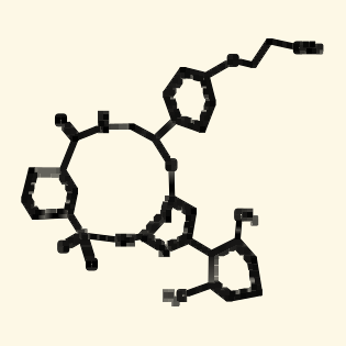 COCCOc1ccc(C2CNC(=O)c3cccc(c3)S(=O)(=O)Nc3nc(cc(-c4c(C)cccc4C)n3)O2)cc1